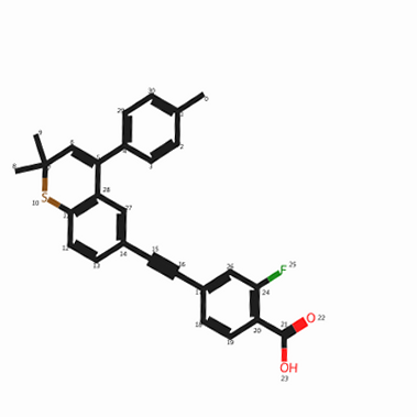 Cc1ccc(C2=CC(C)(C)Sc3ccc(C#Cc4ccc(C(=O)O)c(F)c4)cc32)cc1